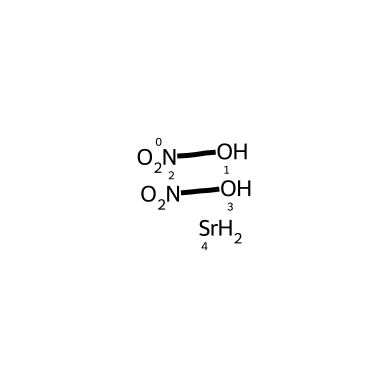 O=[N+]([O-])O.O=[N+]([O-])O.[SrH2]